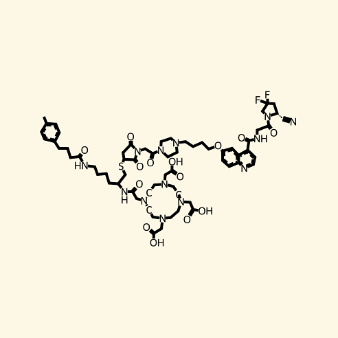 Cc1ccc(CCCC(=O)NCCCCC(CSC2CC(=O)N(CC(=O)N3CCN(CCCCOc4ccc5nccc(C(=O)NCC(=O)N6CC(F)(F)C[C@@H]6C#N)c5c4)CC3)C2=O)NC(=O)CN2CCN(CC(=O)O)CCN(CC(=O)O)CCN(CC(=O)O)CC2)cc1